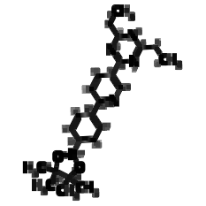 CCc1nc(CC)nc(-c2ccc(-c3ccc(B4OC(C)(C)C(C)(C)O4)cc3)nc2)n1